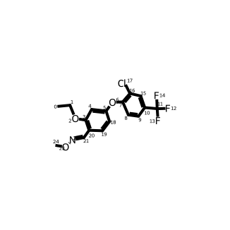 CCOc1cc(Oc2ccc(C(F)(F)F)cc2Cl)ccc1/C=N/OC